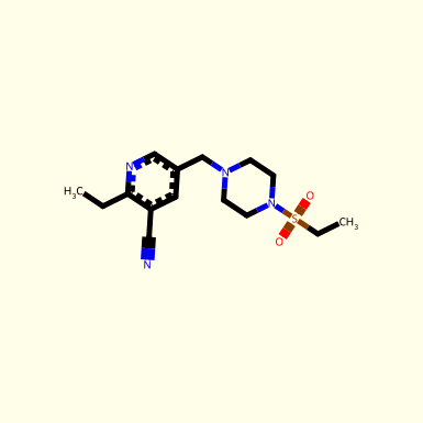 CCc1ncc(CN2CCN(S(=O)(=O)CC)CC2)cc1C#N